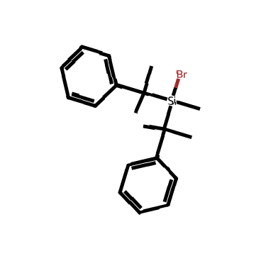 CC(C)(c1ccccc1)[Si](C)(Br)C(C)(C)c1ccccc1